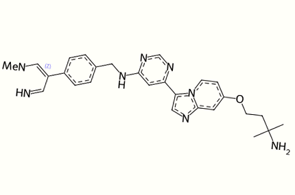 CN/C=C(\C=N)c1ccc(CNc2cc(-c3cnc4cc(OCCC(C)(C)N)ccn34)ncn2)cc1